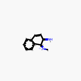 C/N=C1\C(=N)C=Cc2ccccc21